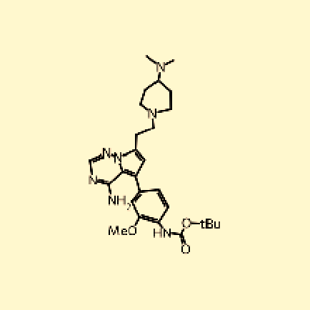 COc1cc(-c2cc(CCN3CCC(N(C)C)CC3)n3ncnc(N)c23)ccc1NC(=O)OC(C)(C)C